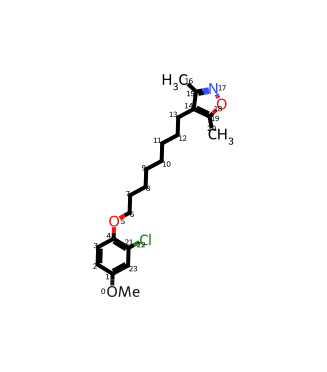 COc1ccc(OCCCCCCCCc2c(C)noc2C)c(Cl)c1